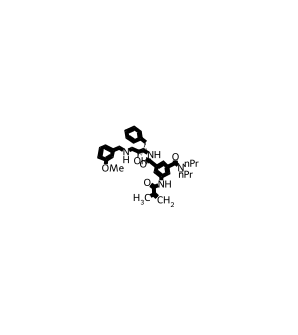 C=C(C)C(=O)Nc1cc(C(=O)N[C@@H](Cc2ccccc2)[C@H](O)CNCc2cccc(OC)c2)cc(C(=O)N(CCC)CCC)c1